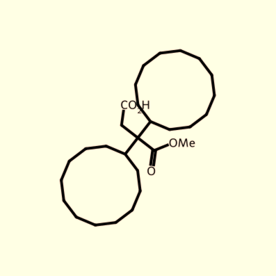 COC(=O)C(CC(=O)O)(C1CCCCCCCCCCC1)C1CCCCCCCCCCC1